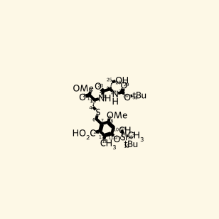 COC(=O)[C@@H](CSCc1c(OC)cc(O[Si](C)(C)C(C)(C)C)c(C)c1C(=O)O)NC(=O)[C@H](CO)NC(=O)OC(C)(C)C